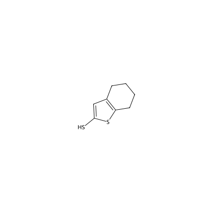 Sc1cc2c(s1)CCCC2